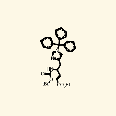 CCOC(=O)C=CC(Cc1cn(C(c2ccccc2)(c2ccccc2)c2ccccc2)cn1)NC(=O)OC(C)(C)C